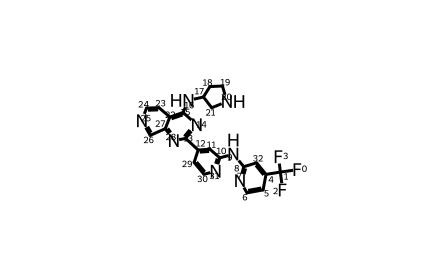 FC(F)(F)c1ccnc(Nc2cc(-c3nc(NC4CCNC4)c4ccncc4n3)ccn2)c1